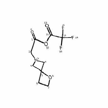 O=C(CN1CC2(CCO2)C1)OC(=O)C(F)(F)F